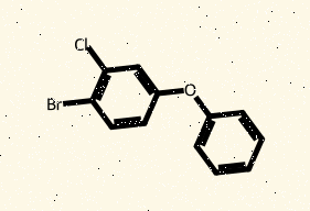 Clc1cc(Oc2ccccc2)ccc1Br